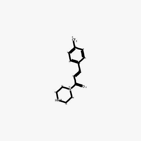 O=C(C=Cc1ccc(C(F)(F)F)cc1)N1CCNCC1